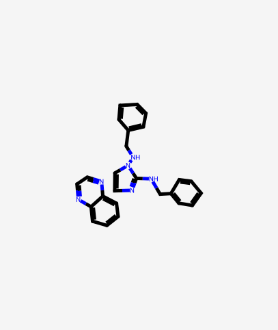 c1ccc(CNc2nccn2NCc2ccccc2)cc1.c1ccc2nccnc2c1